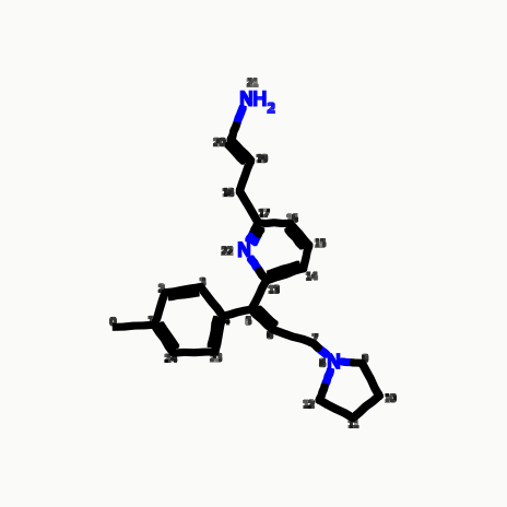 Cc1ccc(C(=CCN2CCCC2)c2cccc(CC=CN)n2)cc1